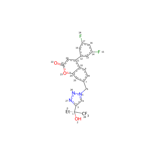 CC[C@](O)(c1cn(Cc2ccc3c(-c4cc(F)cc(F)c4)cc(=O)oc3c2)nn1)C(F)(F)F